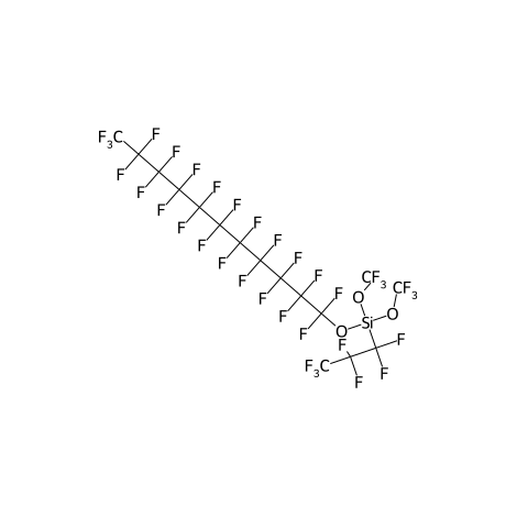 FC(F)(F)O[Si](OC(F)(F)F)(OC(F)(F)C(F)(F)C(F)(F)C(F)(F)C(F)(F)C(F)(F)C(F)(F)C(F)(F)C(F)(F)C(F)(F)C(F)(F)F)C(F)(F)C(F)(F)C(F)(F)F